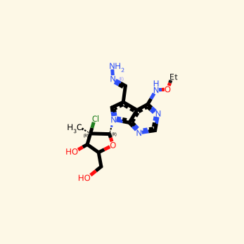 CCONc1ncnc2c1c(/C=N/N)cn2[C@@H]1OC(CO)C(O)[C@@]1(C)Cl